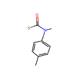 Cc1ccc(N(C)C(=O)[S])cc1